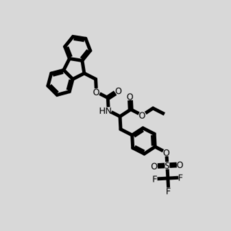 CCOC(=O)C(Cc1ccc(OS(=O)(=O)C(F)(F)F)cc1)NC(=O)OCC1c2ccccc2-c2ccccc21